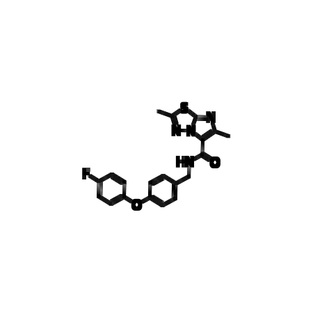 Cc1nn2c(C(=O)NCc3ccc(Oc4ccc(F)cc4)cc3)c(C)nc2s1